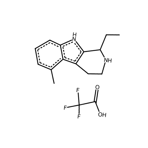 CCC1NCCc2c1[nH]c1cccc(C)c21.O=C(O)C(F)(F)F